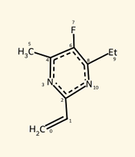 C=Cc1nc(C)c(F)c(CC)n1